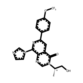 C[C@@H](CO)n1cnc2c(-n3ccnc3)nc(-c3ccc(OC(F)(F)F)cc3)cc2c1=O